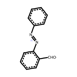 O=[C]c1ccccc1/N=N/c1ccccc1